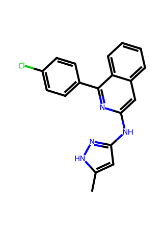 Cc1cc(Nc2cc3ccccc3c(-c3ccc(Cl)cc3)n2)n[nH]1